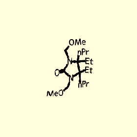 CCCC1(CC)N(COC)C(=O)N(COC)C1(CC)CCC